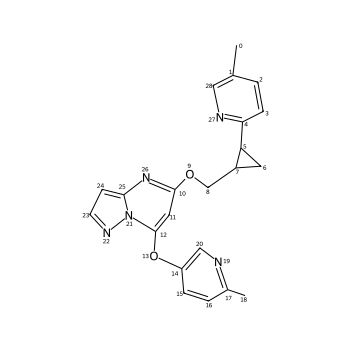 Cc1ccc(C2CC2COc2cc(Oc3ccc(C)nc3)n3nccc3n2)nc1